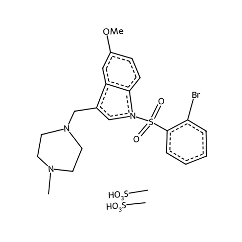 COc1ccc2c(c1)c(CN1CCN(C)CC1)cn2S(=O)(=O)c1ccccc1Br.CS(=O)(=O)O.CS(=O)(=O)O